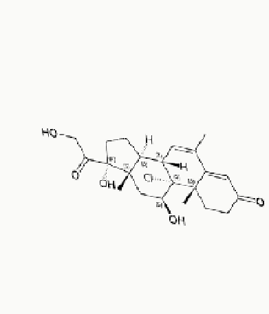 CC1=C[C@H]2[C@@H]3CC[C@](O)(C(=O)CO)[C@@]3(C)C[C@H](O)[C@]2(Cl)[C@@]2(C)CCC(=O)C=C12